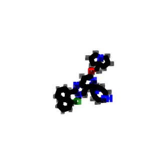 Clc1cccc2cccc(-c3ncc4c(N5C6CCC5CNC6)nc(OCC56CCCN5CCC6)cc4n3)c12